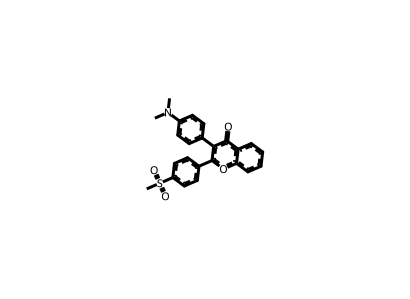 CN(C)c1ccc(-c2c(-c3ccc(S(C)(=O)=O)cc3)oc3ccccc3c2=O)cc1